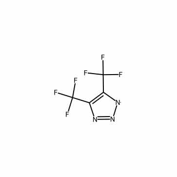 FC(F)(F)C1=C(C(F)(F)F)N=N[N]1